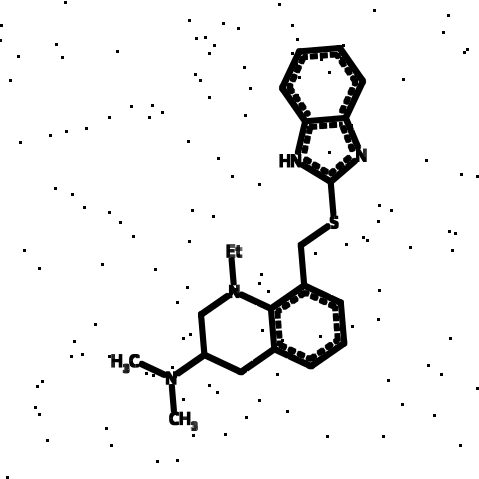 CCN1CC(N(C)C)Cc2cccc(CSc3nc4ccccc4[nH]3)c21